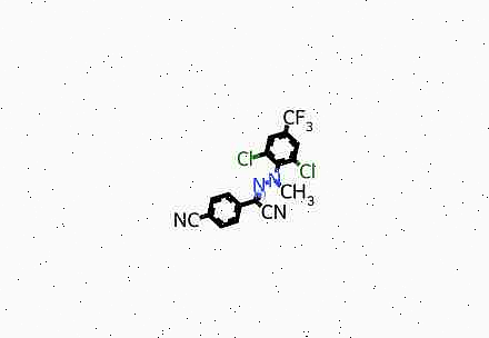 CN(/N=C(\C#N)c1ccc(C#N)cc1)c1c(Cl)cc(C(F)(F)F)cc1Cl